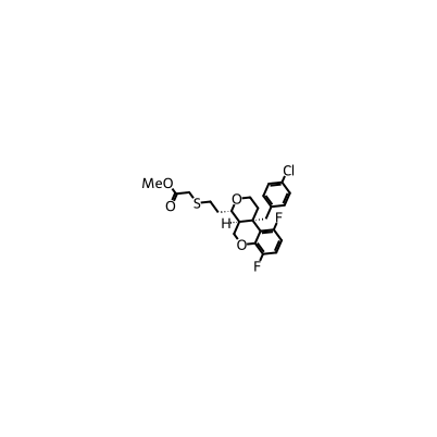 COC(=O)CSCC[C@@H]1OCC[C@@]2(Cc3ccc(Cl)cc3)c3c(F)ccc(F)c3OC[C@@H]12